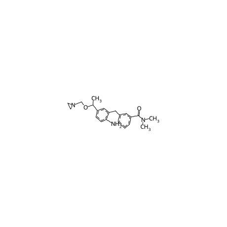 CC(OCN1CC1)c1ccc(N)c(Cc2cccc(C(=O)N(C)C)c2)c1